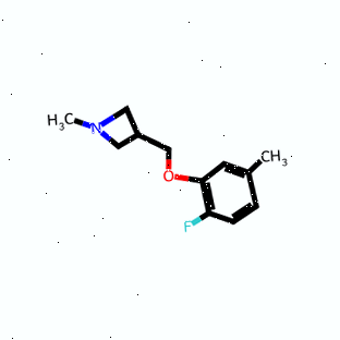 Cc1ccc(F)c(OCC2CN(C)C2)c1